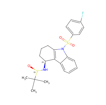 CC(C)(C)[S@@+]([O-])N[C@H]1CCCc2c1c1ccccc1n2S(=O)(=O)c1ccc(F)cc1